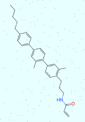 C=CC(=O)NCCCc1ccc(-c2ccc(-c3ccc(CCCCC)cc3)cc2C)cc1C